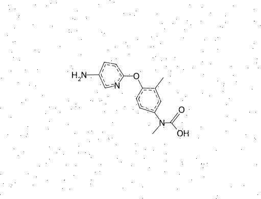 Cc1cc(N(C)C(=O)O)ccc1Oc1ccc(N)cn1